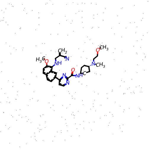 C=C(C#N)CNc1c(OC)ccc2ccc(-c3ccnc(C(=O)N[C@H]4CC[C@@H](N(C)CCOC)CC4)n3)cc12